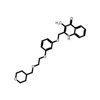 Cc1c(COc2cccc(OCCOCC3CCOCC3)c2)[nH]c2ccccc2c1=O